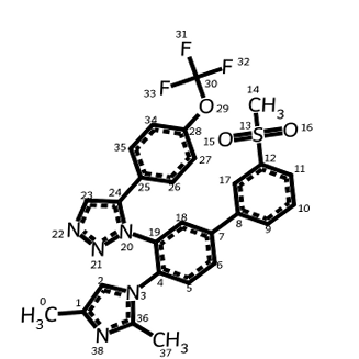 Cc1cn(-c2ccc(-c3cccc(S(C)(=O)=O)c3)cc2-n2nncc2-c2ccc(OC(F)(F)F)cc2)c(C)n1